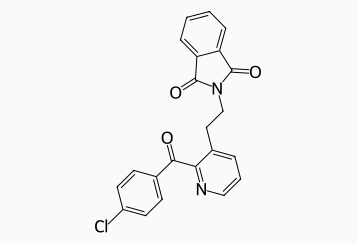 O=C(c1ccc(Cl)cc1)c1ncccc1CCN1C(=O)c2ccccc2C1=O